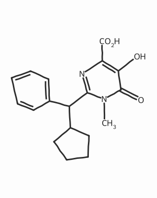 Cn1c(C(c2ccccc2)C2CCCC2)nc(C(=O)O)c(O)c1=O